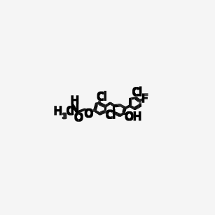 CNC(=O)COc1cc(Cl)c(Cc2ccc(O)c(-c3ccc(F)c(Cl)c3)c2)c(Cl)c1